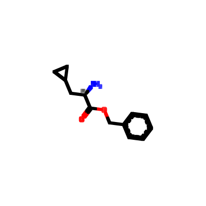 N[C@H](CC1CC1)C(=O)OCc1ccccc1